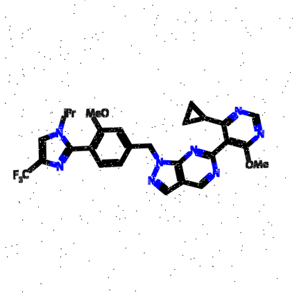 COc1cc(Cn2ncc3cnc(-c4c(OC)ncnc4C4CC4)nc32)ccc1-c1nc(C(F)(F)F)cn1C(C)C